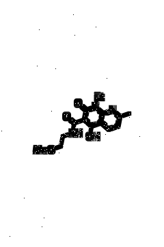 CCn1c(=O)c(C(=O)NCCOC)c(O)c2ccc(C)nc21